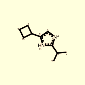 CC(C)c1ncc(C2CCC2)[nH]1